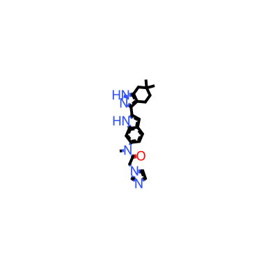 CN(C(=O)Cn1ccnc1)c1ccc2cc(-c3n[nH]c4c3CCC(C)(C)C4)[nH]c2c1